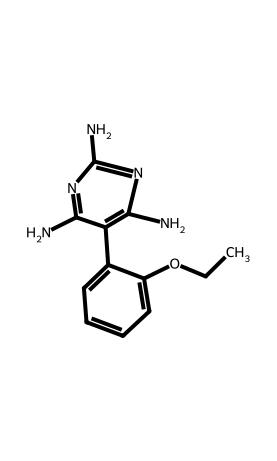 CCOc1ccccc1-c1c(N)nc(N)nc1N